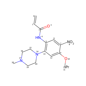 C=CC(=O)Nc1cc([N+](=O)[O-])c(OCCC)cc1N1CCN(C)CC1